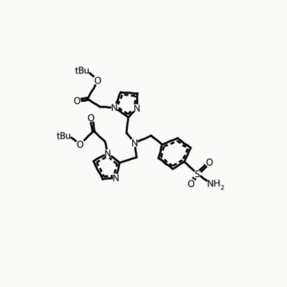 CC(C)(C)OC(=O)Cn1ccnc1CN(Cc1ccc(S(N)(=O)=O)cc1)Cc1nccn1CC(=O)OC(C)(C)C